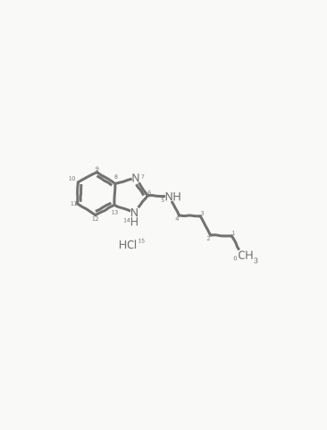 CCCCCNc1nc2ccccc2[nH]1.Cl